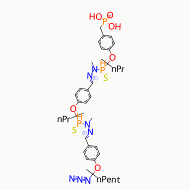 CCCCCC(C)(N=[N+]=[N-])Oc1ccc(/C=N/N(C)[PH](=S)C(C)(CCC)Oc2ccc(/C=N/N(C)[PH](=S)C(C)(CCC)Oc3ccc(CP(=O)(O)O)cc3)cc2)cc1